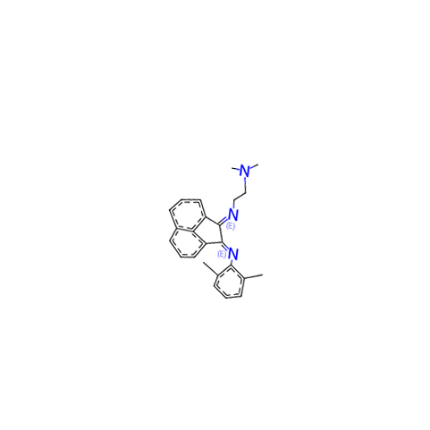 Cc1cccc(C)c1/N=C1/C(=N/CCN(C)C)c2cccc3cccc1c23